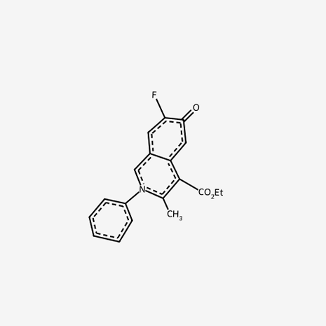 CCOC(=O)c1c2cc(=O)c(F)cc-2cn(-c2ccccc2)c1C